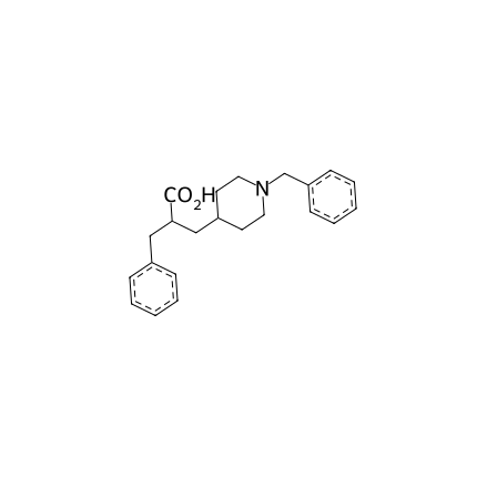 O=C(O)C(Cc1ccccc1)CC1CCN(Cc2ccccc2)CC1